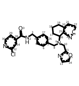 O=C(NCc1ccc(CN(Cc2ncco2)C2CCCc3cccnc32)cc1)c1ccnc(Cl)c1